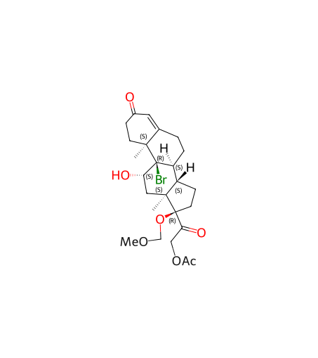 COCO[C@]1(C(=O)COC(C)=O)CC[C@H]2[C@@H]3CCC4=CC(=O)CC[C@]4(C)[C@@]3(Br)[C@@H](O)C[C@@]21C